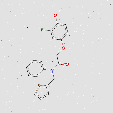 COc1ccc(OCC(=O)N(Cc2cccs2)c2ccccc2)cc1F